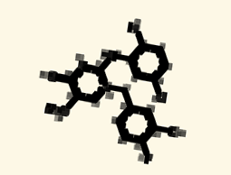 CCc1ccc(Cl)cc1Nc1nc(=O)c(OC)cn1Cc1ccc(F)c(Cl)c1